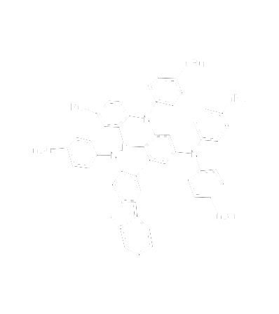 CCCCc1ccc(N2B3c4cc(CCCC)ccc4N(c4ccc(CCCC)cc4)c4cc(N(c5ccc(CCCC)cc5)c5ccc(CCCC)cc5)cc(c43)-c3cc4c(cc32)sc2ccccc24)cc1